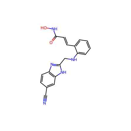 N#Cc1ccc2nc(CNc3ccccc3C=CC(=O)NO)[nH]c2c1